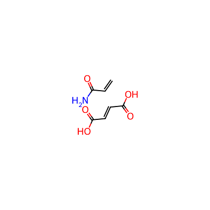 C=CC(N)=O.O=C(O)C=CC(=O)O